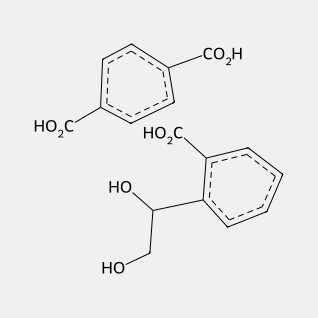 O=C(O)c1ccc(C(=O)O)cc1.O=C(O)c1ccccc1C(O)CO